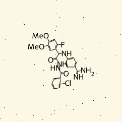 COc1cc(F)c(C(Nc2ccc(C(=N)N)cc2)C(=O)NNC(=O)c2ccccc2Cl)cc1OC